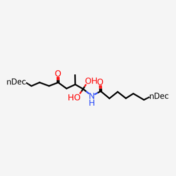 CCCCCCCCCCCCCCCC(=O)NC(O)(O)C(C)CC(=O)CCCCCCCCCCCCC